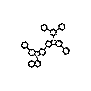 c1ccc(-c2ccc3c(c2)c2cc(-c4ccc5c(c4)c4cc(-c6ccccc6)ccc4n5-c4cccc5ccccc45)ccc2n3-c2nc(-c3ccccc3)cc(-c3ccccc3)n2)cc1